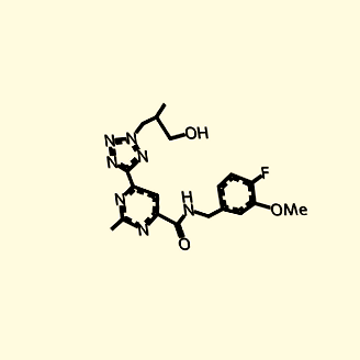 COc1cc(CNC(=O)c2cc(-c3nnn(CC(C)CO)n3)nc(C)n2)ccc1F